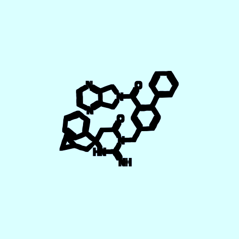 N=C1N[C@](CC2CC2)(c2ccccc2)CC(=O)N1Cc1ccc(-c2ccccc2)c(C(=O)N2Cc3nccnc3C2)c1